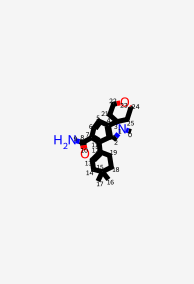 CN(C)C1(c2ccc(C(N)=O)c(C3=CCC(C)(C)CC3)c2)CCOCC1